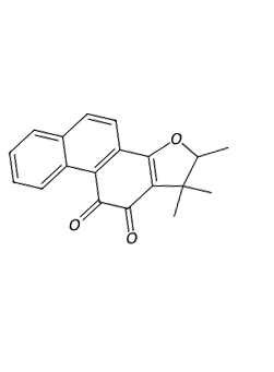 CC1OC2=C(C(=O)C(=O)c3c2ccc2ccccc32)C1(C)C